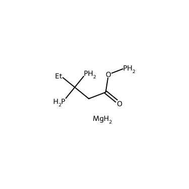 CCC(P)(P)CC(=O)OP.[MgH2]